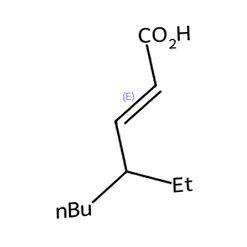 CCCCC(/C=C/C(=O)O)CC